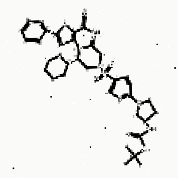 CC(C)(C)OC(=O)N[C@@H]1CCN(c2ccc(S(=O)(=O)N3CC(=O)N(c4cc(-c5ccccc5)sc4C(=O)O)[C@H](C4CCCCC4)C3)cn2)C1